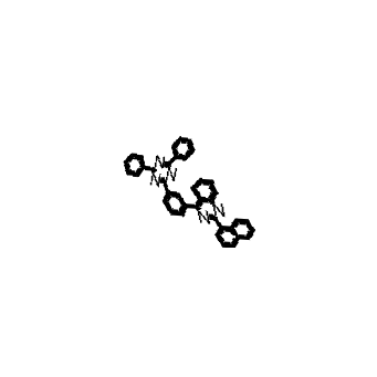 c1ccc(-c2nc(-c3ccccc3)nc(-c3cccc(-c4nc(-c5cccc6ccccc56)nc5ccccc45)c3)n2)cc1